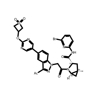 CC(=O)c1nn(CC(=O)N2[C@H](C(=O)Nc3cccc(Br)n3)C[C@@]3(C)C[C@@H]23)c2ccc(-c3cnc(OC4CS(=O)(=O)C4)nc3)cc12